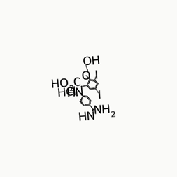 Cl.N=C(N)c1ccc(NC(C(=O)O)c2cc(I)cc(I)c2OCCO)cc1